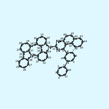 c1ccc(-c2cccc(-c3nc(-n4c5cccc6c7cccc8c9ccccc9n(c9cccc4c9c65)c78)nc4ccc5ccccc5c34)c2)cc1